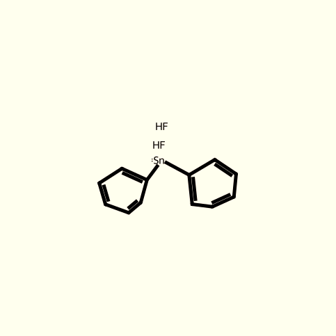 F.F.c1cc[c]([Sn][c]2ccccc2)cc1